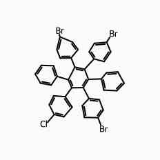 Clc1ccc(-c2c(-c3ccccc3)c(-c3ccc(Br)cc3)c(-c3ccc(Br)cc3)c(-c3ccccc3)c2-c2ccc(Br)cc2)cc1